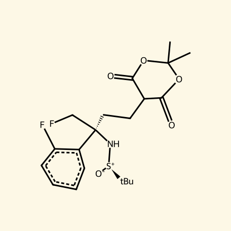 CC1(C)OC(=O)C(CC[C@](CF)(N[S@+]([O-])C(C)(C)C)c2ccccc2F)C(=O)O1